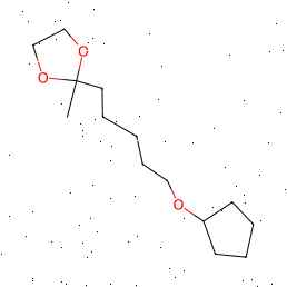 CC1(CCCCCOC2CCCC2)OCCO1